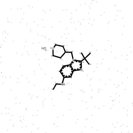 CCNc1ccc2c(c1)nc(C(C)(C)C)n2CC1CCOCC1.Cl